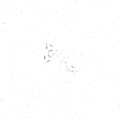 C[C@H](/C=C\S(C)(=O)=O)NC(=O)[C@]1(F)CCCN(S(=O)(=O)c2ccc(C(F)(F)F)cc2-c2ccccc2Cl)CC1